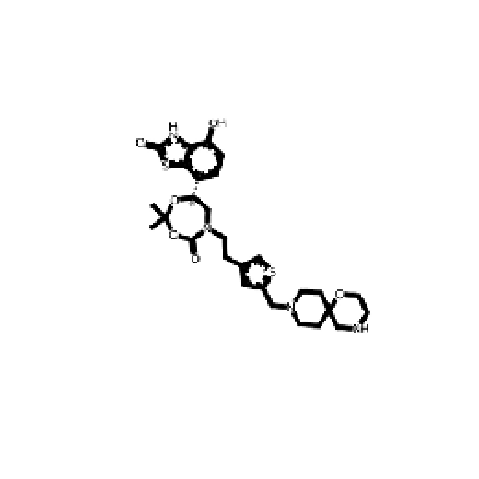 CC1(C)OC(=O)N(CCc2csc(CN3CCC4(CC3)CNCCO4)c2)C[C@@H](c2ccc(O)c3[nH]c(=O)sc23)O1